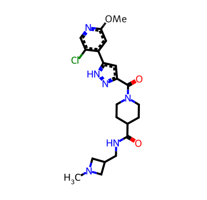 COc1cc(-c2cc(C(=O)N3CCC(C(=O)NCC4CN(C)C4)CC3)n[nH]2)c(Cl)cn1